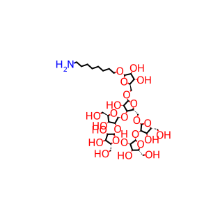 NCCCCCCCCO[C@H]1O[C@H](CO[C@H]2O[C@H](CO[C@H]3O[C@H](CO)[C@@H](O)[C@@H]3O[C@@H]3O[C@H](CO)[C@@H](O)[C@@H]3O)[C@@H](O[C@H]3O[C@H](CO)[C@@H](O)[C@@H]3O[C@@H]3O[C@H](CO)[C@@H](O)[C@@H]3O)[C@@H]2O)[C@@H](O)[C@@H]1O